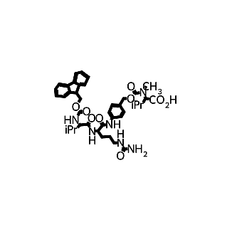 CC(C)C(NC(=O)OCC1c2ccccc2-c2ccccc21)C(=O)NC(CCCNC(N)=O)C(=O)Nc1ccc(COC(=O)N(C)C(C(=O)O)C(C)C)cc1